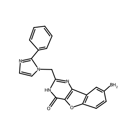 Bc1ccc2oc3c(=O)[nH]c(Cn4ccnc4-c4ccccc4)nc3c2c1